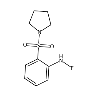 O=S(=O)(c1ccccc1NF)N1CCCC1